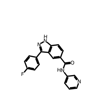 O=C(Nc1cccnc1)c1ccc2[nH]nc(-c3ccc(F)cc3)c2c1